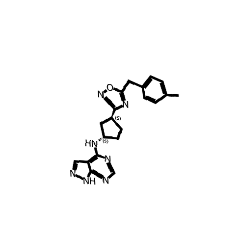 Cc1ccc(Cc2nc([C@H]3CC[C@H](Nc4ncnc5[nH]ncc45)C3)no2)cc1